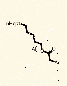 CCCCCCCCCCCCOC(=O)CC(C)=O.[Al]